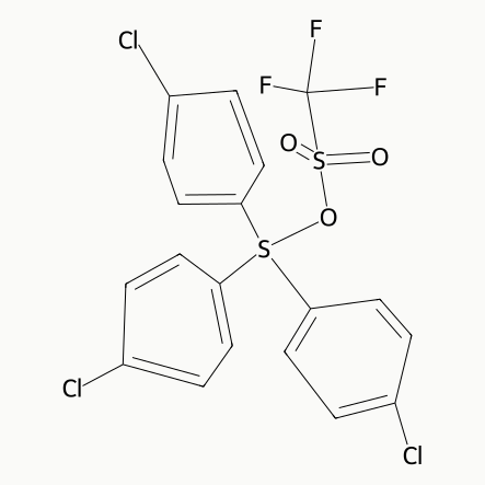 O=S(=O)(OS(c1ccc(Cl)cc1)(c1ccc(Cl)cc1)c1ccc(Cl)cc1)C(F)(F)F